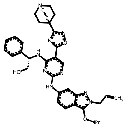 C=CCn1nc2cc(Nc3ncc(-c4nc(C56CCN(CC5)CC6)no4)c(N[C@H](CO)c4ccccc4)n3)ccc2c1OC(C)C